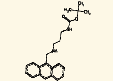 CC(C)(C)OC(=O)NCCCNCc1c2ccccc2cc2ccccc12